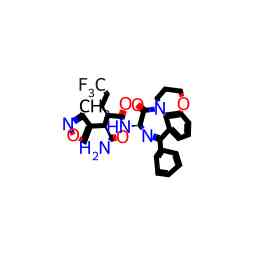 Cc1nocc1[C@H](C(N)=O)[C@@H](CCC(F)(F)F)C(=O)N[C@H]1N=C(c2ccccc2)c2cccc3c2N(CCCO3)C1=O